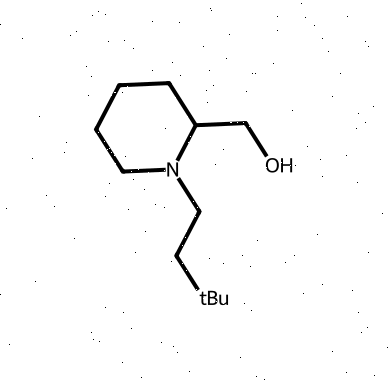 CC(C)(C)CCN1CCCCC1CO